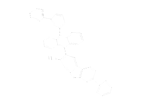 Oc1cc2oc3cc(-c4ccccc4)ccc3c2cc1-c1c2ccccc2c(-c2cccc(-c3ccccc3)c2)c2ccccc12